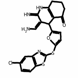 N=C1NC2=C(C(=O)CCC2)C(c2ccc(Sc3nc4cc(Cl)ccc4s3)o2)/C1=C/N